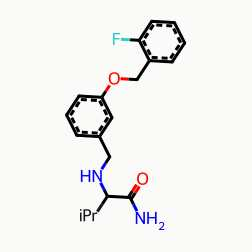 CC(C)C(NCc1cccc(OCc2ccccc2F)c1)C(N)=O